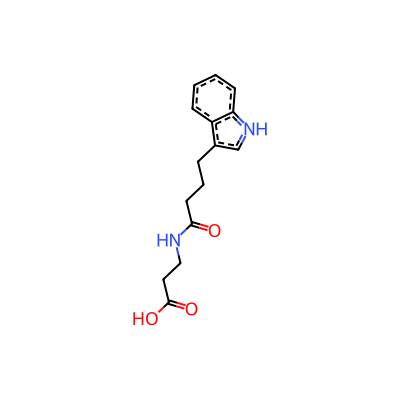 O=C(O)CCNC(=O)CCCc1c[nH]c2ccccc12